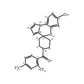 O=C(c1ccc(C(F)(F)F)cc1C(F)(F)F)N1CCC2(CC1)Oc1cc(Cl)ccc1-n1cccc12